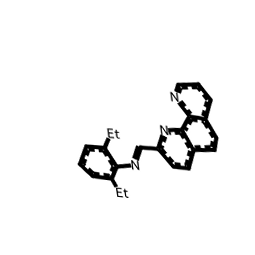 CCc1cccc(CC)c1/N=C/c1ccc2ccc3cccnc3c2n1